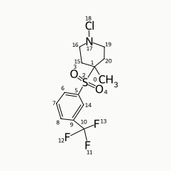 CC1(S(=O)(=O)c2cccc(C(F)(F)F)c2)CCN(Cl)CC1